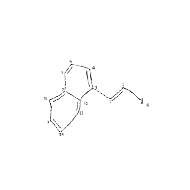 IC=Cc1cccc2ccccc12